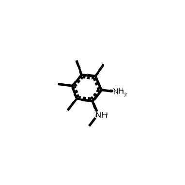 CNc1c(C)c(C)c(C)c(C)c1N